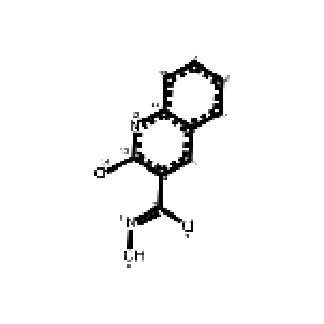 O/N=C(\Cl)c1cc2ccccc2nc1Cl